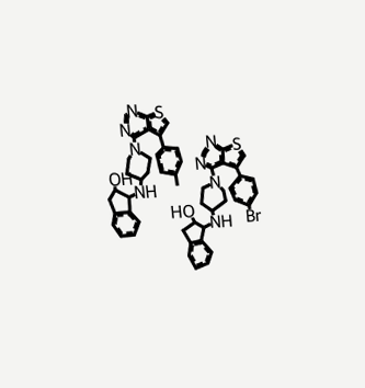 Cc1ccc(-c2csc3ncnc(N4CCC(NC5c6ccccc6CC5O)CC4)c23)cc1.OC1Cc2ccccc2C1NC1CCN(c2ncnc3scc(-c4ccc(Br)cc4)c23)CC1